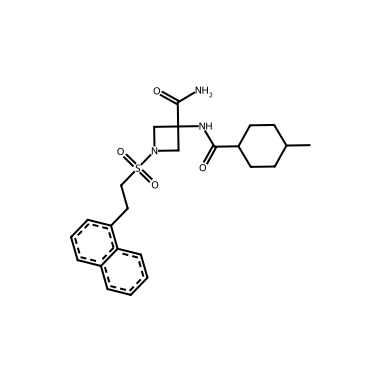 CC1CCC(C(=O)NC2(C(N)=O)CN(S(=O)(=O)CCc3cccc4ccccc34)C2)CC1